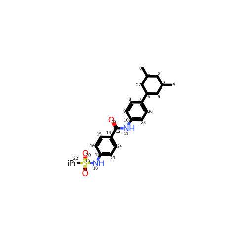 CC1CC(C)CC(c2ccc(NC(=O)c3ccc(NS(=O)(=O)C(C)C)cc3)cc2)C1